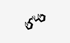 CN(CC1=NCCC=C1)CC1CC=CC=N1